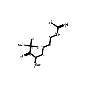 CNC(CSCCNC(=N)N)C(=O)C(C)(C)NC